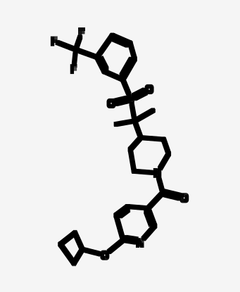 CC(C)(C1CCN(C(=O)c2ccc(OC3CCC3)nc2)CC1)S(=O)(=O)c1cccc(C(F)(F)F)c1